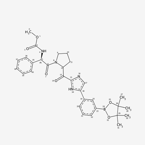 COC(=O)N[C@@H](C(=O)N1CCCC1C(=O)c1ncc(-c2cccc(B3OC(C)(C)C(C)(C)O3)c2)[nH]1)c1ccccc1